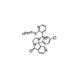 CCCCCSc1ncccc1C(=O)N1CCN2C(=O)c3ccncc3C21c1ccc(Cl)cc1